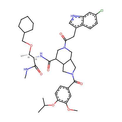 CNC(=O)[C@@H](NC(=O)C1CN(C(=O)Cc2c[nH]c3cc(Cl)ccc23)CC2CN(C(=O)c3ccc(OC(C)C)c(OC)c3)CC21)[C@H](C)OCC1CCCCC1